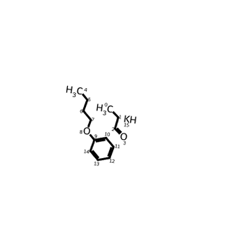 CCC=O.CCCCOc1ccccc1.[KH]